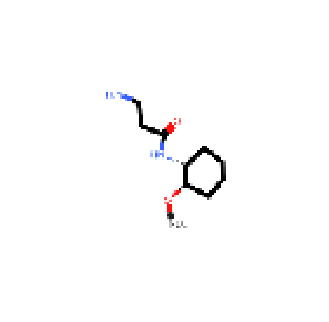 NCCC(=O)N[C@@H]1CCCC[C@H]1O[N+](=O)[O-]